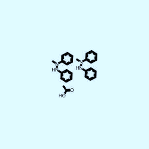 CC(=O)O.CN(Nc1ccccc1)c1ccccc1.CN(Nc1ccccc1)c1ccccc1